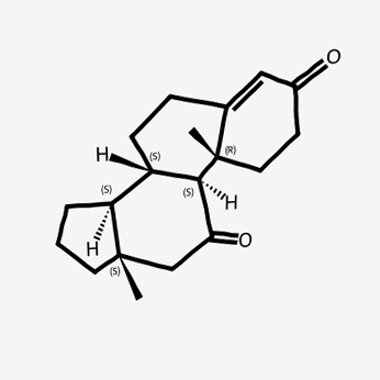 C[C@@]12CCC[C@H]1[C@@H]1CCC3=CC(=O)CC[C@]3(C)[C@H]1C(=O)C2